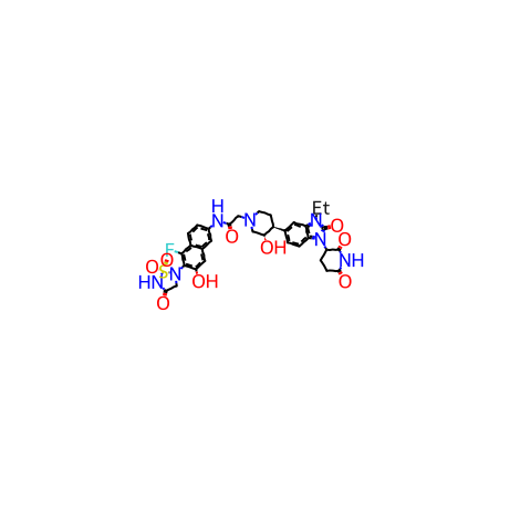 CCn1c(=O)n(C2CCC(=O)NC2=O)c2ccc([C@@H]3CCN(CC(=O)Nc4ccc5c(F)c(N6CC(=O)NS6(=O)=O)c(O)cc5c4)C[C@H]3O)cc21